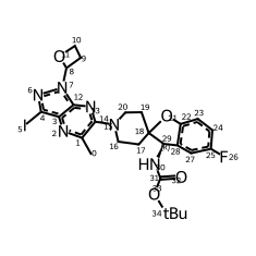 Cc1nc2c(I)nn(C3CCO3)c2nc1N1CCC2(CC1)Oc1ccc(F)cc1[C@H]2NC(=O)OC(C)(C)C